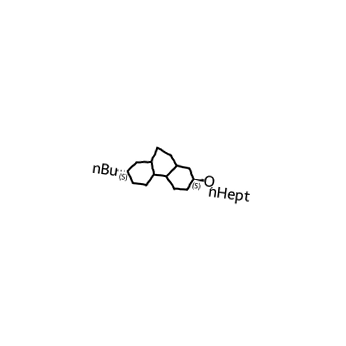 CCCCCCCO[C@H]1CCC2C(CCC3C[C@@H](CCCC)CCC32)C1